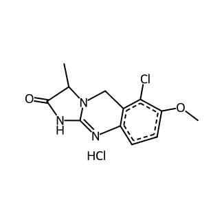 COc1ccc2c(c1Cl)CN1C(=N2)NC(=O)C1C.Cl